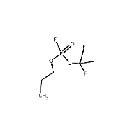 CCCOP(=O)(F)OC(F)(F)F